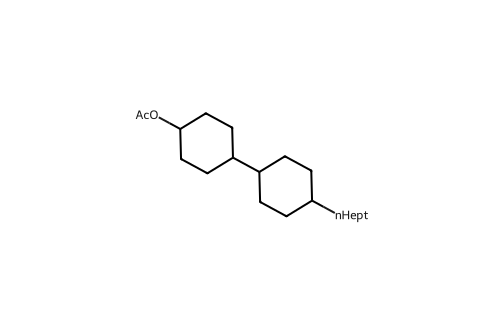 CCCCCCCC1CCC(C2CCC(OC(C)=O)CC2)CC1